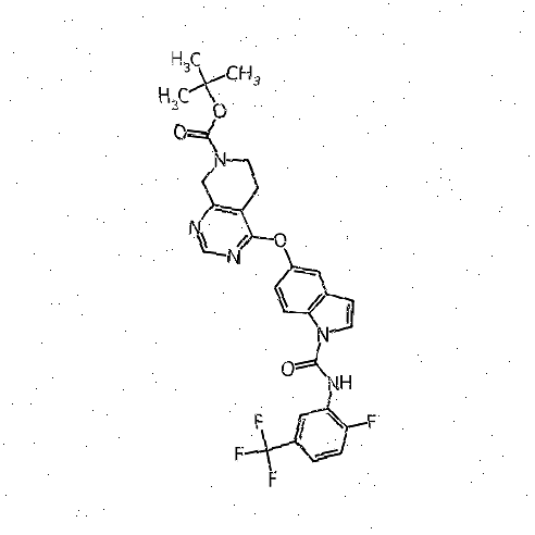 CC(C)(C)OC(=O)N1CCc2c(ncnc2Oc2ccc3c(ccn3C(=O)Nc3cc(C(F)(F)F)ccc3F)c2)C1